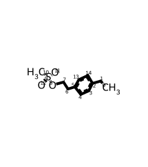 CCc1ccc(CCOS(C)(=O)=O)cc1